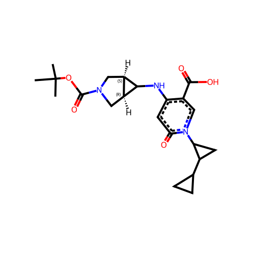 CC(C)(C)OC(=O)N1C[C@@H]2C(Nc3cc(=O)n(C4CC4C4CC4)cc3C(=O)O)[C@@H]2C1